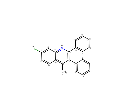 Cc1c(-c2ccccc2)c(-c2ccccc2)nc2cc(Cl)ccc12